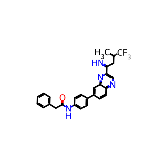 CC(CC(=N)c1cnc2ccc(-c3ccc(NC(=O)Cc4ccccc4)cc3)cc2n1)C(F)(F)F